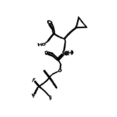 CC(C)(OC(=O)NC(C(=O)O)C1CC1)C(F)(F)F